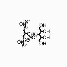 O=[N+]([O-])OCC(CO[N+](=O)[O-])O[N+](=O)[O-].OCC(O)C(O)C(O)CO